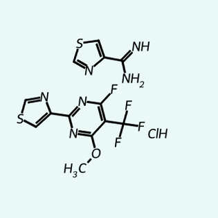 COc1nc(-c2cscn2)nc(F)c1C(F)(F)F.Cl.N=C(N)c1cscn1